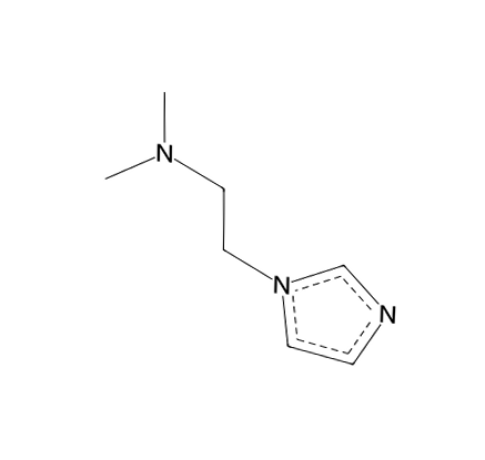 CN(C)CCn1ccnc1